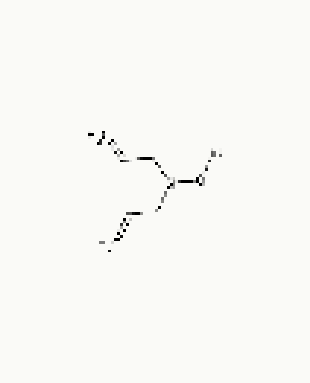 C=CC[Si](CC=C)OCC